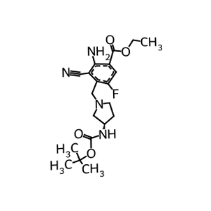 CCOC(=O)c1cc(F)c(CN2CC[C@@H](NC(=O)OC(C)(C)C)C2)c(C#N)c1N